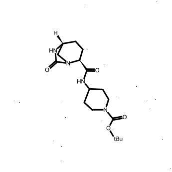 CC(C)(C)OC(=O)N1CCC(NC(=O)[C@@H]2CC[C@@H]3CN2C(=O)N3)CC1